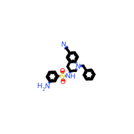 N#Cc1ccc2c(c1)CC(NS(=O)(=O)c1cccc(N)c1)CN2Cc1ccccc1